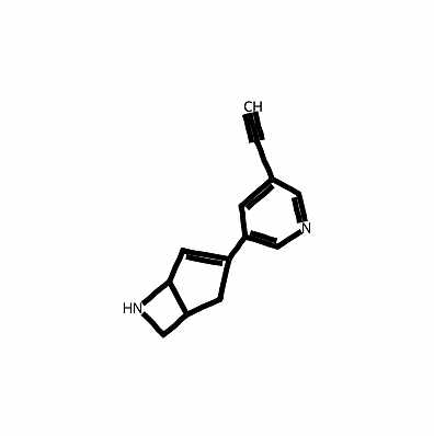 C#Cc1cncc(C2=CC3NCC3C2)c1